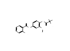 COc1cc(NC(=O)c2ccccc2F)ccc1NC(=O)C(F)(F)F